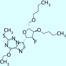 CCCCOC[C@H]1O[C@@H](c2cnc3c(OCC)nc(SC)nn23)[C@H](F)[C@@H]1OCCCC